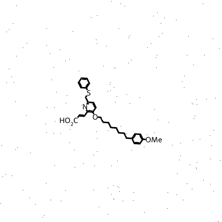 COc1ccc(CCCCCCCCOc2ccc(CSc3ccccc3)nc2C=CC(=O)O)cc1